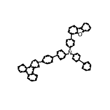 c1ccc(-c2ccc(N(c3ccc(-c4ccc(-c5ccc6c7ccccc7c7ccccc7c6c5)cc4)cc3)c3ccc(-c4cccc5c4oc4ccccc45)cc3)cc2)cc1